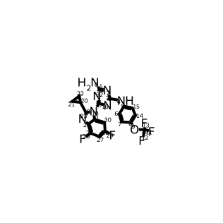 Nc1nc(Nc2ccc(OC(F)(F)F)cc2)nc(-n2c(C3CC3)nc3c(F)cc(F)cc32)n1